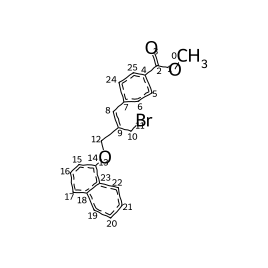 COC(=O)c1ccc(C=C(CBr)COc2cccc3ccccc23)cc1